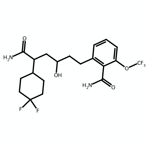 NC(=O)c1c(C[CH]C(O)CC(C(N)=O)C2CCC(F)(F)CC2)cccc1OC(F)(F)F